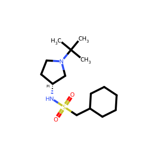 CC(C)(C)N1CC[C@@H](NS(=O)(=O)CC2CCCCC2)C1